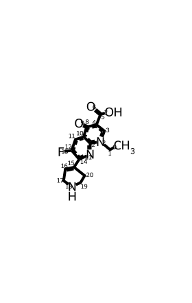 CCn1cc(C(=O)O)c(=O)c2cc(F)c(C3=CCNCC3)nc21